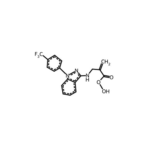 C=C(CNc1nn(-c2ccc(C(F)(F)F)cc2)c2ccccc12)C(=O)OO